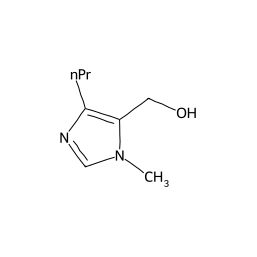 CCCc1ncn(C)c1CO